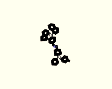 Cc1ccc(N(c2ccccc2)c2ccc(/C=C/c3ccc(N(c4cccc5ccccc45)c4cccc5ccccc45)cc3)cc2)cc1